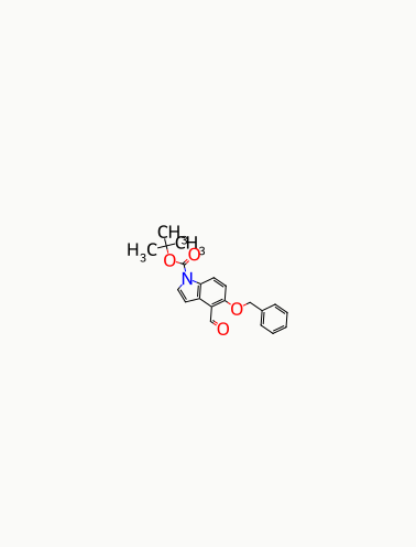 CC(C)(C)OC(=O)n1ccc2c(C=O)c(OCc3ccccc3)ccc21